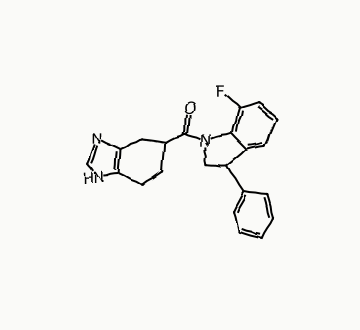 O=C(C1CCc2[nH]cnc2C1)N1CC(c2ccccc2)c2cccc(F)c21